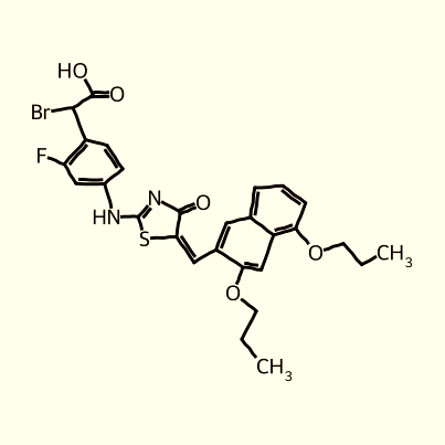 CCCOc1cc2c(OCCC)cccc2cc1C=C1SC(Nc2ccc(C(Br)C(=O)O)c(F)c2)=NC1=O